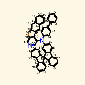 c1ccc(-c2ccc(N(c3ccc4c(c3)C3(c5ccccc5-c5ccccc53)c3ccccc3-4)c3cncc4sc5cc6ccccc6cc5c34)cc2)cc1